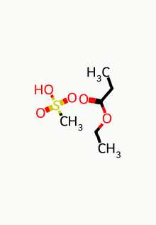 CCOC(=O)CC.CS(=O)(=O)O